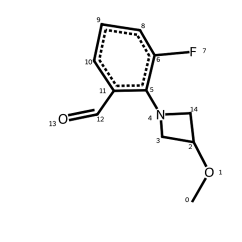 COC1CN(c2c(F)cccc2C=O)C1